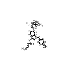 CCOC(=O)Cc1cn(Cc2ccc(O)cc2)c2cc(B3OC(C)(C)C(C)(C)O3)ccc12